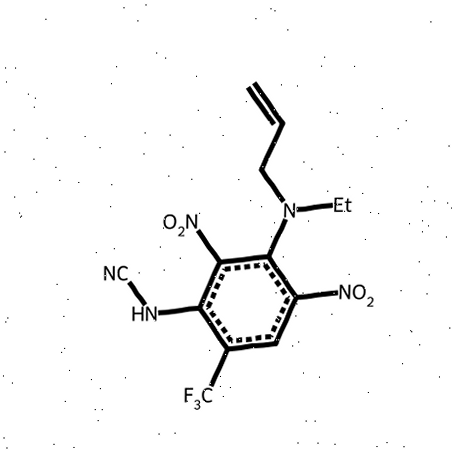 C=CCN(CC)c1c([N+](=O)[O-])cc(C(F)(F)F)c(NC#N)c1[N+](=O)[O-]